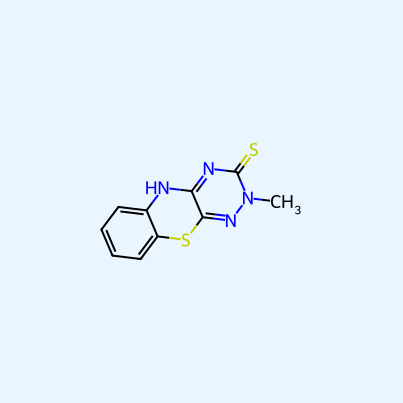 Cn1nc2c(nc1=S)Nc1ccccc1S2